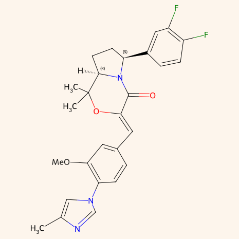 COc1cc(C=C2OC(C)(C)[C@H]3CC[C@@H](c4ccc(F)c(F)c4)N3C2=O)ccc1-n1cnc(C)c1